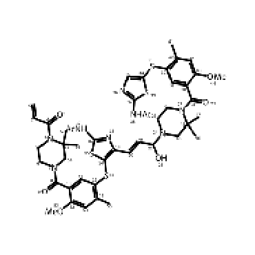 C=CC(=O)N1CCN(C(=O)c2cc(Sc3sc(NC(C)=O)nc3/C=C/C(O)N3CCN(C(=O)c4cc(Sc5cnc(NC(C)=O)s5)c(C)cc4OC)C(C)(C)C3)c(C)cc2OC)CC1(C)C